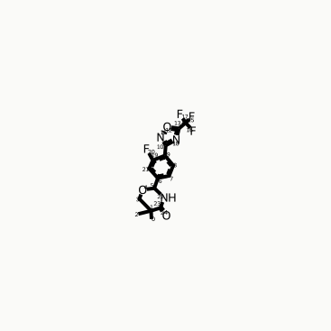 CC1(C)COC(c2ccc(-c3noc(C(F)(F)F)n3)c(F)c2)NC1=O